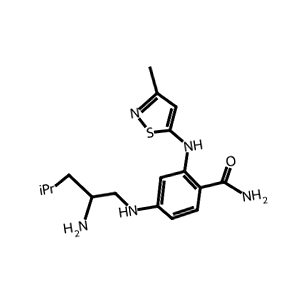 Cc1cc(Nc2cc(NCC(N)CC(C)C)ccc2C(N)=O)sn1